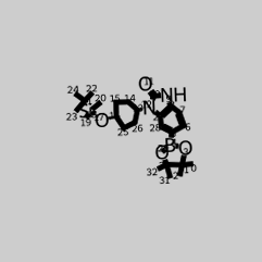 CC1(C)OB(c2ccc3[nH]c(=O)n([C@H]4CC[C@H](O[Si](C)(C)C(C)(C)C)CC4)c3c2)OC1(C)C